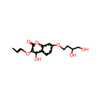 CC=COc1c(O)c2ccc(OCCC(O)CO)cc2oc1=O